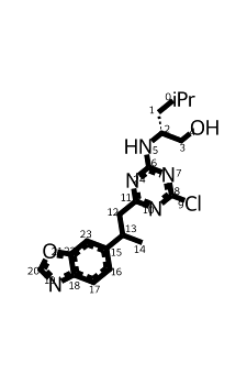 CC(C)C[C@H](CO)Nc1nc(Cl)nc(CC(C)c2ccc3ncoc3c2)n1